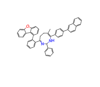 C/C1=C(\c2ccc(-c3ccc4ccccc4c3)cc2)NC(c2ccccc2)/N=C(/c2ccccc2-c2cccc3oc4ccccc4c23)CC1